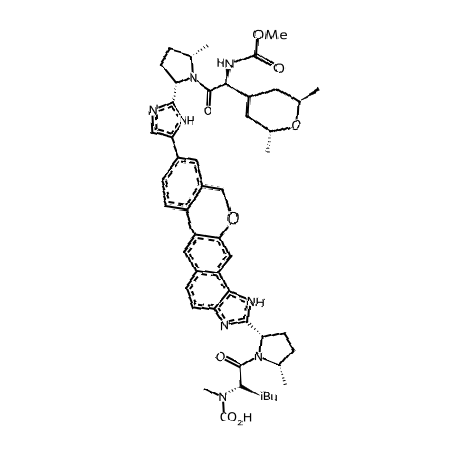 CC[C@H](C)[C@@H](C(=O)N1[C@@H](C)CC[C@H]1c1nc2ccc3cc4c(cc3c2[nH]1)OCc1cc(-c2cnc([C@@H]3CC[C@H](C)N3C(=O)[C@@H](NC(=O)OC)C3C[C@@H](C)O[C@H](C)C3)[nH]2)ccc1-4)N(C)C(=O)O